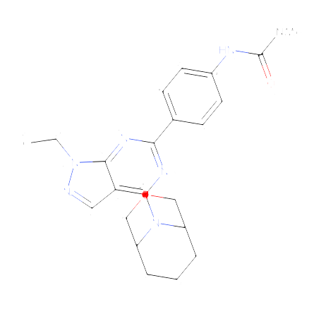 CNC(=O)Nc1ccc(-c2nc(N3C4CCCC3COC4)c3cnn(CC(F)(F)F)c3n2)cc1